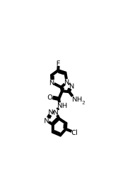 Nc1nn2cc(F)cnc2c1C(=O)Nn1nnc2ccc(Cl)cc21